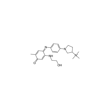 CC1=C/C(=N/c2ccc(N3CCC([N+](C)(C)C)C3)cc2)C(NCCO)=CC1=O